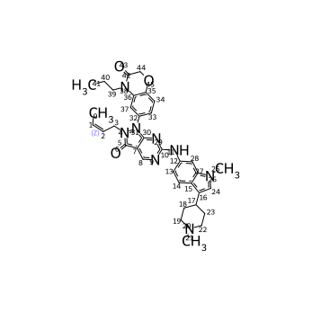 C/C=C\Cn1c(=O)c2cnc(Nc3ccc4c(C5CCN(C)CC5)cn(C)c4c3)nc2n1-c1ccc2c(c1)N(CCC)C(=O)CO2